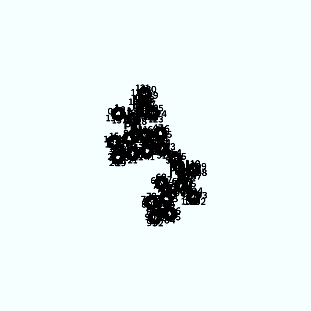 c1ccc(-c2nc(-n3c4ccc([Si](c5ccccc5)(c5ccccc5)c5ccccc5)cc4c4cc([Si](c5ccccc5)(c5ccccc5)c5ccc(-c6ccc7c(c6)nc6n(-c8cc(-n9c%10ccccc%10c%10cc([Si](c%11ccccc%11)(c%11ccccc%11)c%11ccccc%11)ccc%109)nc(-c9ccccc9)n8)c8ccccc8n76)cc5)ccc43)cc(-n3c4ccccc4n4c5ccccc5nc34)n2)cc1